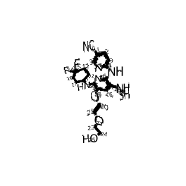 N#Cc1ccc(Nc2nc(NC3CCC(F)(F)CC3)c(OCCOCCO)cc2NS)nc1